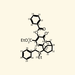 CCOC(=O)c1nc2n(c(=O)c1OC(=O)c1ccccc1)CC1CCC2(N(CC)Cc2ccccc2)CC1